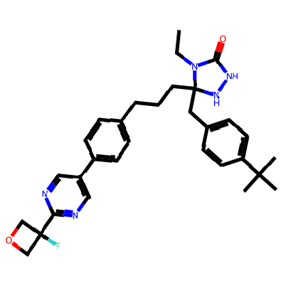 CCN1C(=O)NNC1(CCCc1ccc(-c2cnc(C3(F)COC3)nc2)cc1)Cc1ccc(C(C)(C)C)cc1